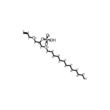 C=CCOCC(COCCCCCCCCCCCCC)OS(=O)(=O)O